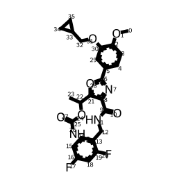 COc1ccc(-c2nc(C(=O)NCc3ccc(F)cc3F)c(C(C)OC(N)=O)o2)cc1OCC1CC1